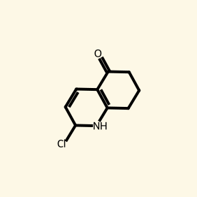 O=C1CCCC2=C1C=CC(Cl)N2